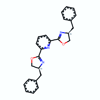 c1ccc(C[C@H]2COC(c3cccc(C4=N[C@@H](Cc5ccccc5)CO4)n3)=N2)cc1